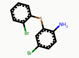 Nc1ccc(Br)cc1Sc1ccccc1Br